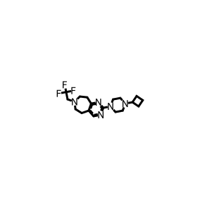 FC(F)(F)CN1CCc2cnc(N3CCN(C4CCC4)CC3)nc2CC1